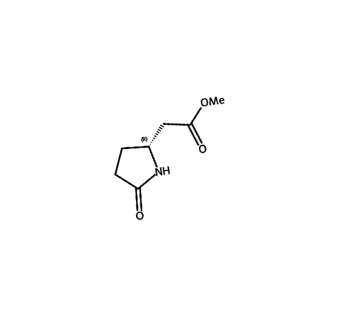 COC(=O)C[C@H]1CCC(=O)N1